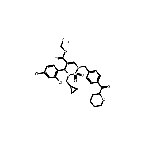 CCOC(=O)C1=CN(Cc2ccc(C(=O)C3CCCCO3)cc2)S(=O)(=O)N(CC2CC2)C1c1ccc(Cl)cc1Cl